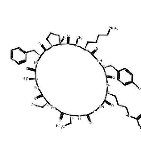 CC(=O)NCCCC[C@H]1C(=O)N[C@@H](Cc2ccc(O)cc2)C(=O)N[C@@H](CCCNC(=N)N)C(=O)NCC(=O)N[C@@H](CC(=O)O)C(=O)N[C@@H](CC(C)C)C(=O)N[C@@H](C)C(=O)N[C@@H](Cc2ccccc2)C(=O)N2CCC[C@@H]2C(=O)N1C